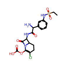 CCS(=O)(=O)Nc1cccc(C(N)C(=O)NC2C(=O)N3C(OC(=O)O)=C(Cl)CCC23)c1